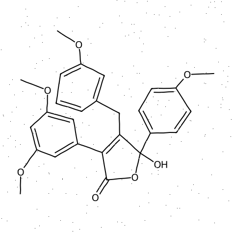 COc1ccc(C2(O)OC(=O)C(c3cc(OC)cc(OC)c3)=C2Cc2cccc(OC)c2)cc1